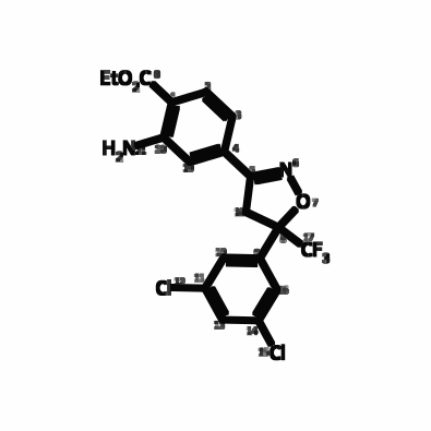 CCOC(=O)c1ccc(C2=NOC(c3cc(Cl)cc(Cl)c3)(C(F)(F)F)C2)cc1N